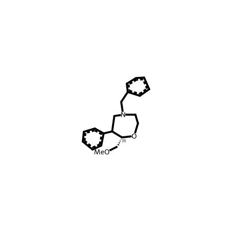 COC[C@H]1OCCN(Cc2ccccc2)CC1c1ccccc1